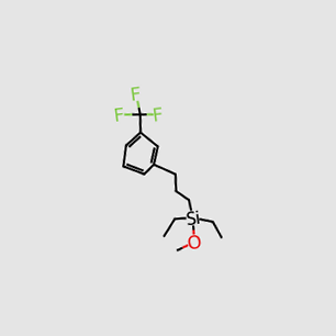 CC[Si](CC)(CCCc1cccc(C(F)(F)F)c1)OC